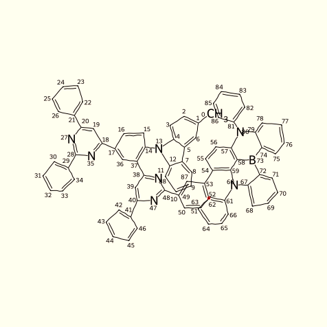 Cc1ccc2c(c1)c1ccccc1n2-c1ccc(-c2cc(-c3ccccc3)nc(-c3ccccc3)n2)cc1-c1cc(-c2ccccc2)nc(-c2cccc(-c3ccc4c5c3N(c3ccccc3)c3ccccc3B5c3ccccc3N4c3ccccc3)c2)n1